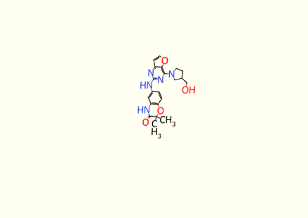 CC1(C)Oc2ccc(Nc3nc(N4CCC(CO)C4)c4occc4n3)cc2NC1=O